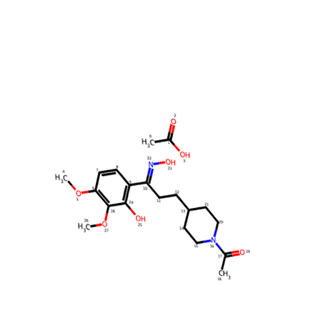 CC(=O)O.COc1ccc(C(CCC2CCN(C(C)=O)CC2)=NO)c(O)c1OC